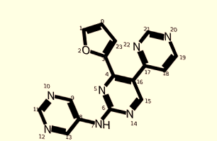 c1coc(-c2nc(Nc3cncnc3)ncc2-c2ccncn2)c1